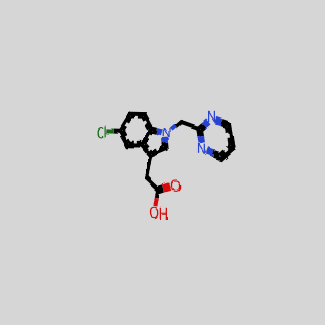 O=C(O)Cc1cn(Cc2ncccn2)c2ccc(Cl)cc12